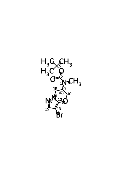 CN(C(=O)OC(C)(C)C)[C@H]1COc2c(Br)cnn2C1